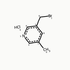 Cc1cncc(CBr)c1.Cl